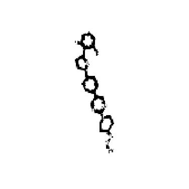 CC(C)ON=C1CCN(c2ncc(-c3ccc(C4CCC(c5c(F)cccc5F)=N4)cc3)cn2)CC1